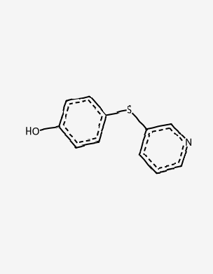 Oc1ccc(Sc2cccnc2)cc1